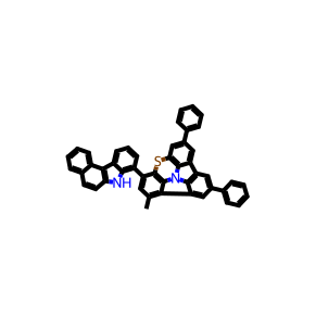 Cc1cc(-c2cccc3c2[nH]c2ccc4ccccc4c23)c2c3c1c1cc(-c4ccccc4)cc4c5cc(-c6ccccc6)cc(c5n3c41)S2